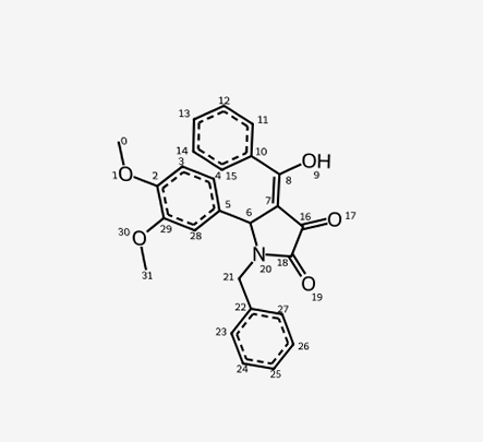 COc1ccc(C2/C(=C(/O)c3ccccc3)C(=O)C(=O)N2Cc2ccccc2)cc1OC